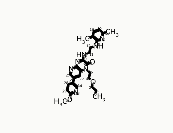 CCCOCCn1c(=O)c(NCCNc2nc(C)ccc2C)nc2ncc(-c3ccc(OC)nc3)cc21